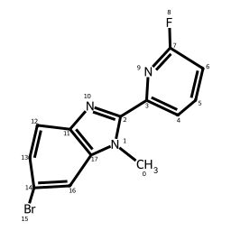 Cn1c(-c2cccc(F)n2)nc2ccc(Br)cc21